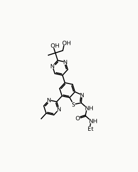 CCNC(=O)Nc1nc2cc(-c3cnc(C(C)(O)CO)nc3)cc(-c3ncc(C)cn3)c2s1